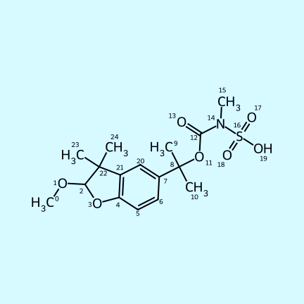 COC1Oc2ccc(C(C)(C)OC(=O)N(C)S(=O)(=O)O)cc2C1(C)C